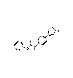 O=C(Nc1ccc([C@H]2CCNC2)cc1)Oc1ccccc1